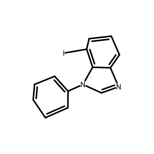 Ic1cccc2ncn(-c3ccccc3)c12